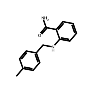 Cc1ccc(CNc2ccccc2C(N)=O)cc1